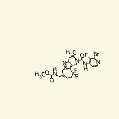 COC(=O)NC[C@@H]1CCC(F)(F)c2c3c(nn2C1)C[C@@H](C)N(C(=O)Nc1ccnc(Br)c1F)C3